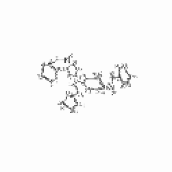 CN(Cc1ccccc1)c1ccc(C(C=Cc2ccccc2)c2ccc(N(C)Cc3ccccc3)cc2)cc1